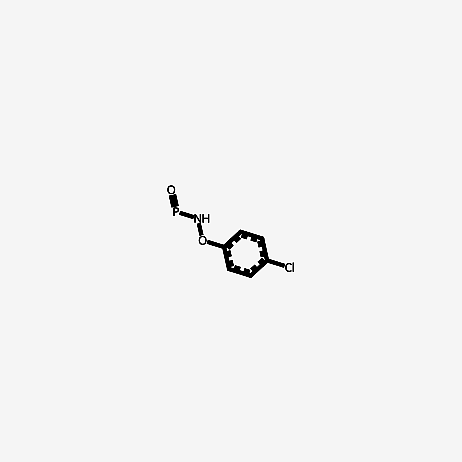 O=PNOc1ccc(Cl)cc1